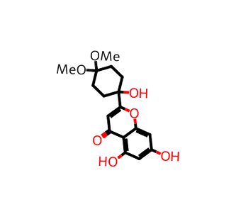 COC1(OC)CCC(O)(c2cc(=O)c3c(O)cc(O)cc3o2)CC1